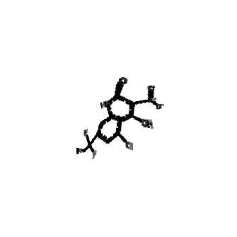 O=c1[nH]c2cc(C(F)(F)F)cc(Cl)c2c(O)c1[N+](=O)[O-]